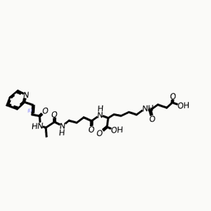 CC(NC(=O)/C=C/c1ccccn1)C(=O)NCCCC(=O)NC(CCCCNC(=O)CCC(=O)O)C(=O)O